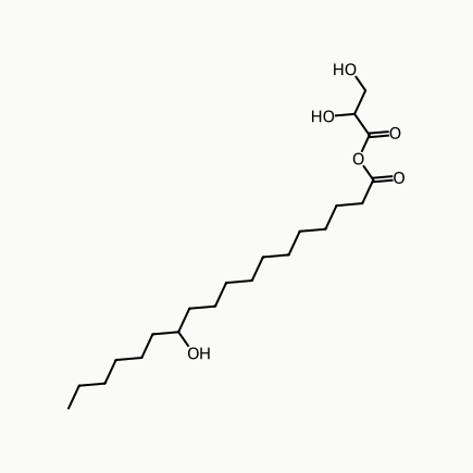 CCCCCCC(O)CCCCCCCCCCC(=O)OC(=O)C(O)CO